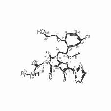 Cc1c(-n2nccn2)sc2c1c(=O)n(C(C)(C)C(=O)NC(C)C)c(=O)n2CC(OC(C)C)c1cc(F)ccc1OCCO